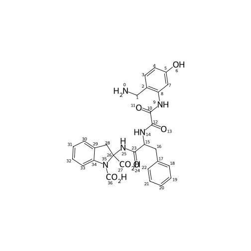 NCc1ccc(O)cc1NC(=O)C(=O)NC(Cc1ccccc1)C(=O)NC1(C(=O)O)Cc2ccccc2N1C(=O)O